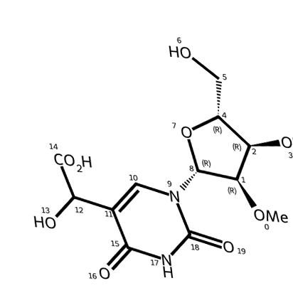 CO[C@@H]1[C@H](O)[C@@H](CO)O[C@H]1n1cc(C(O)C(=O)O)c(=O)[nH]c1=O